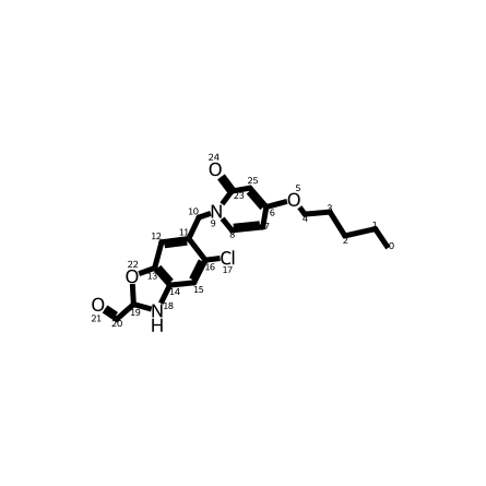 CCCCCOc1ccn(Cc2cc3c(cc2Cl)NC(C=O)O3)c(=O)c1